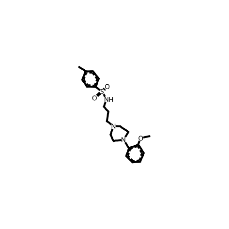 COc1ccccc1N1CCN(CCCNS(=O)(=O)c2ccc(C)cc2)CC1